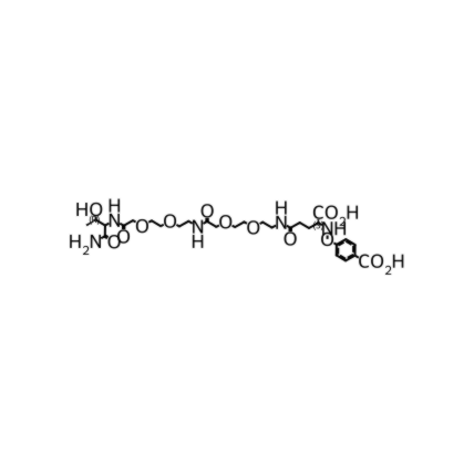 C[C@@H](O)C(NC(=O)COCCOCCNC(=O)COCCOCCNC(=O)CC[C@H](NOc1ccc(C(=O)O)cc1)C(=O)O)C(N)=O